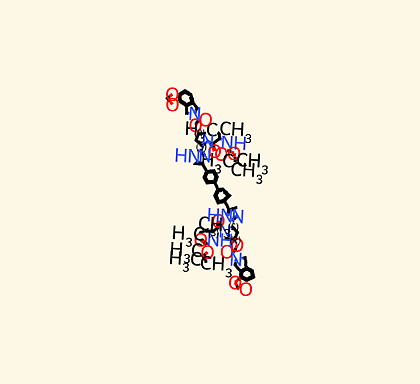 CC(C)C(NC(=O)OC(C)(C)C)C(=O)N1C[C@H](OC(=O)N2Cc3ccc4c(c3C2)OCO4)C[C@H]1c1nc(-c2ccc(-c3ccc(-c4cnc([C@@H]5C[C@@H](OC(=O)N6Cc7ccc8c(c7C6)OCO8)CN5C(=O)[C@@H](NC(=O)OC(C)(C)C)C(C)C)[nH]4)cc3)cc2)c[nH]1